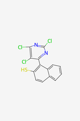 Sc1ccc2ccccc2c1-c1nc(Cl)nc(Cl)c1Cl